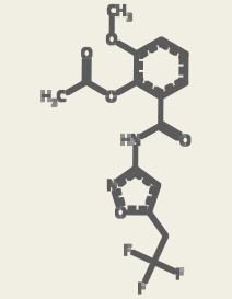 COc1cccc(C(=O)Nc2cc(CC(F)(F)F)on2)c1OC(C)=O